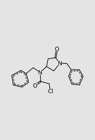 O=C1CC(N(Cc2ccccc2)C(=O)CCl)CN1Cc1ccccc1